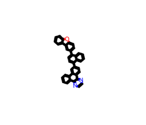 c1ccc2c(c1)oc1ccc(-c3ccc(-c4ccc5c(c4)c4ccccc4c4nccnc54)c4ccccc34)cc12